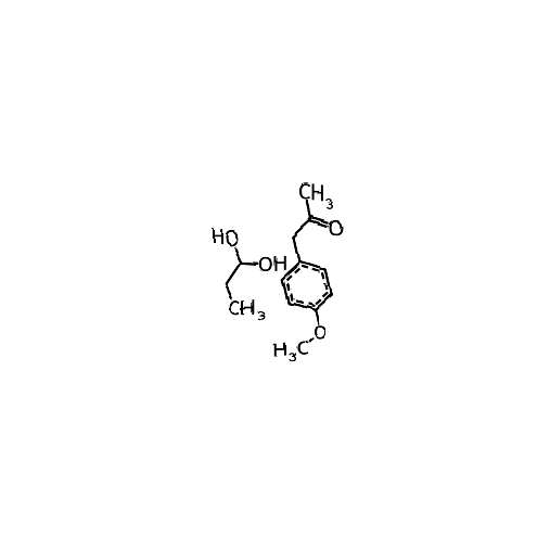 CCC(O)O.COc1ccc(CC(C)=O)cc1